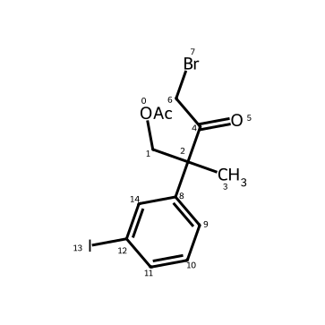 CC(=O)OCC(C)(C(=O)CBr)c1cccc(I)c1